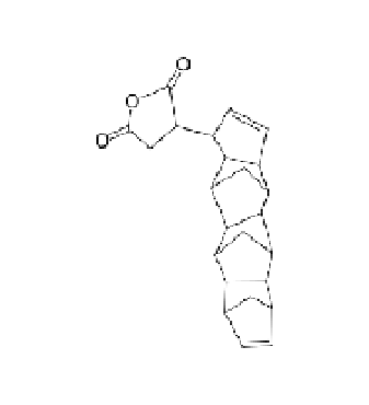 O=C1CC(C2C=CC3C4CC(C23)C2C3CC(C5C6C=CC(C6)C35)C42)C(=O)O1